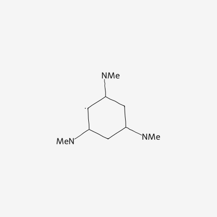 CNC1[CH]C(NC)CC(NC)C1